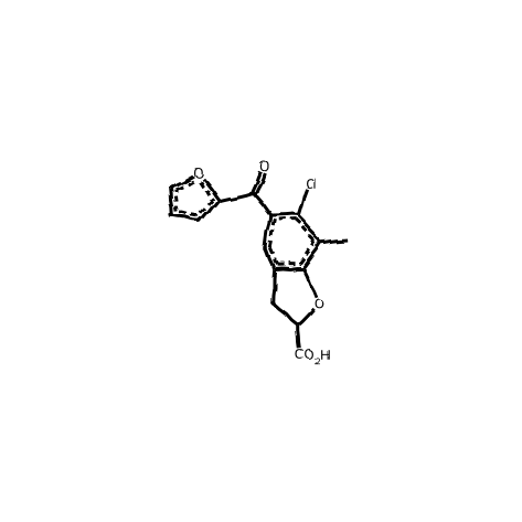 Cc1c(Cl)c(C(=O)c2ccco2)cc2c1OC(C(=O)O)C2